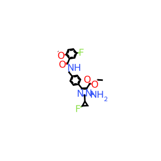 CCOC(=O)c1c(-c2ccc(CNC(=O)c3cc(F)ccc3OC)cc2)nc(C2CC2F)n1N